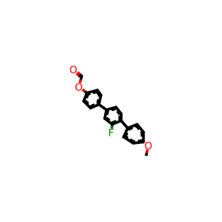 COc1ccc(-c2ccc(-c3ccc(OC=O)cc3)cc2F)cc1